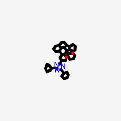 c1ccc(-c2nc(-c3ccccc3)nc(-c3ccc4c(c3)-c3cccc5ccc6c(c35)C4(c3ccccc3)c3ccccc3-6)n2)cc1